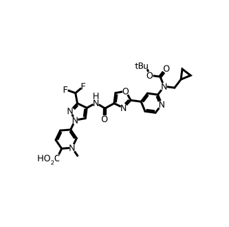 CN1C=C(n2cc(NC(=O)c3coc(-c4ccnc(N(CC5CC5)C(=O)OC(C)(C)C)c4)n3)c(C(F)F)n2)C=CC1C(=O)O